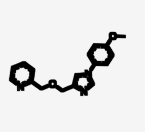 COc1ccc(-n2cnc(COCc3ccccn3)c2)cc1